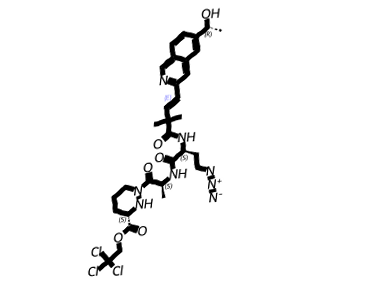 C[C@H](NC(=O)[C@H](CCN=[N+]=[N-])NC(=O)C(C)(C)/C=C/c1cc2cc([C@@H](C)O)ccc2cn1)C(=O)N1CCC[C@@H](C(=O)OCC(Cl)(Cl)Cl)N1